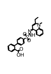 CCc1c/c(=N/NS(=O)(=O)c2ccc(-c3ccccc3C(=O)O)cc2)c2ccccc2n1C